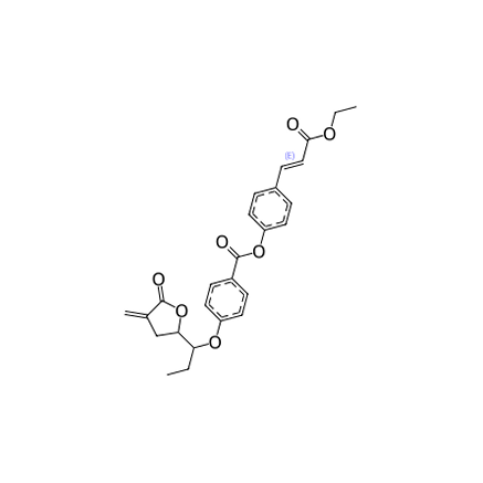 C=C1CC(C(CC)Oc2ccc(C(=O)Oc3ccc(/C=C/C(=O)OCC)cc3)cc2)OC1=O